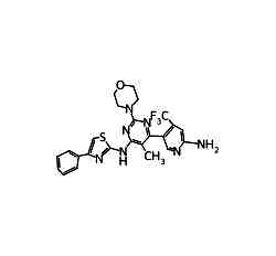 Cc1c(Nc2nc(-c3ccccc3)cs2)nc(N2CCOCC2)nc1-c1cnc(N)cc1C(F)(F)F